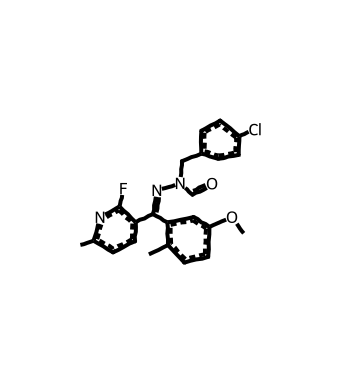 COc1ccc(C)c(/C(=N\N(C=O)Cc2ccc(Cl)cc2)c2ccc(C)nc2F)c1